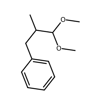 COC(OC)C(C)Cc1ccccc1